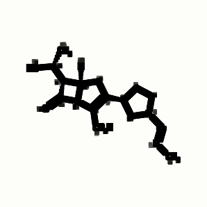 CN=CN1CC[C@H](C2=C(C(=O)O)N3C(=O)[C@H]([C@@H](C)O)[C@H]3C2)C1